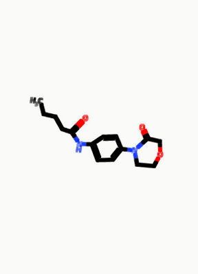 CCCCC(=O)Nc1ccc(N2CCOCC2=O)cc1